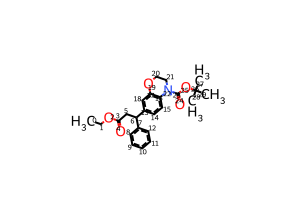 CCOC(=O)CC(c1ccccc1)c1ccc2c(c1)OCCN2C(=O)OC(C)(C)C